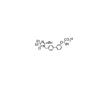 CCCCC1=NC(CC)(CC)C(=O)N1Cc1ccc(-c2cccc(OC(C(=O)O)C(C)C)c2)cc1